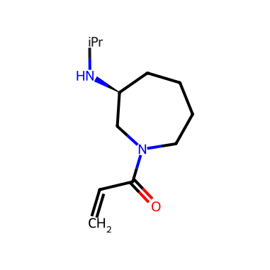 C=CC(=O)N1CCCC[C@H](NC(C)C)C1